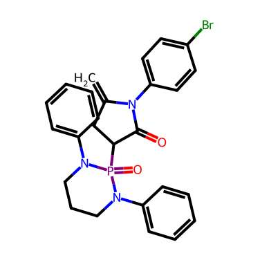 C=C1CC(P2(=O)N(c3ccccc3)CCCN2c2ccccc2)C(=O)N1c1ccc(Br)cc1